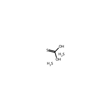 OC(O)=S.S.S